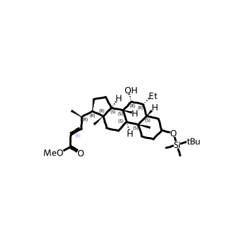 CC[C@H]1[C@@H](O)[C@@H]2[C@H](CC[C@]3(C)[C@@H]([C@H](C)/C=C/C(=O)OC)CC[C@@H]23)[C@@]2(C)CCC(O[Si](C)(C)C(C)(C)C)C[C@@H]12